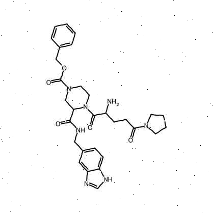 NC(CCC(=O)N1CCCC1)C(=O)N1CCN(C(=O)OCc2ccccc2)CC1C(=O)NCc1ccc2[nH]cnc2c1